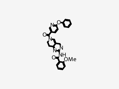 COc1ccccc1C(=O)NC1=NCC2=CN(C(=O)c3ccc(Oc4ccccc4)nc3)CCC2=N1